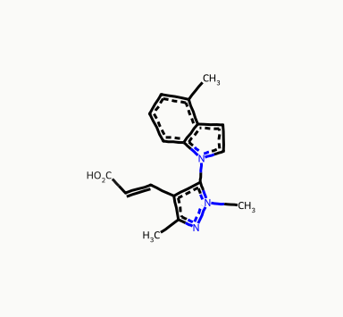 Cc1nn(C)c(-n2ccc3c(C)cccc32)c1C=CC(=O)O